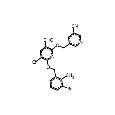 Cc1c(Br)cccc1COc1nc(OCc2cncc(C#N)c2)c(C=O)cc1Cl